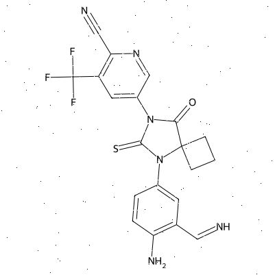 N#Cc1ncc(N2C(=O)C3(CCC3)N(c3ccc(N)c(C=N)c3)C2=S)cc1C(F)(F)F